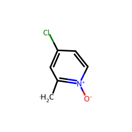 [CH2]c1cc(Cl)cc[n+]1[O-]